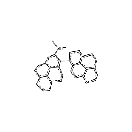 C[SiH](C)c1cc2ccc3cccc4ccc(c1-c1ccc5ccc6cccc7ccc1c5c67)c2c34